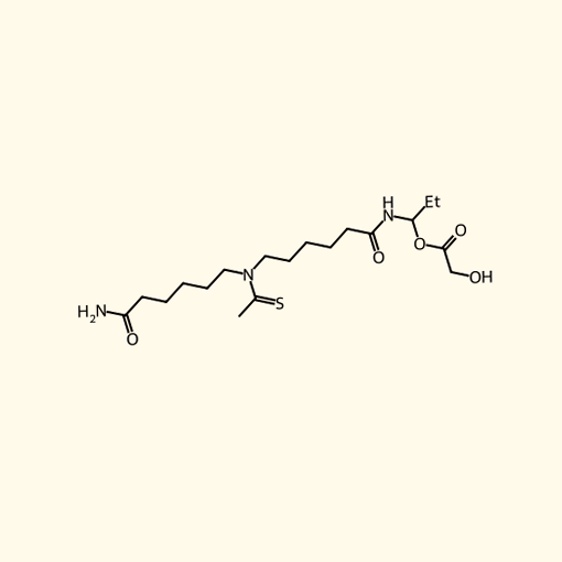 CCC(NC(=O)CCCCCN(CCCCCC(N)=O)C(C)=S)OC(=O)CO